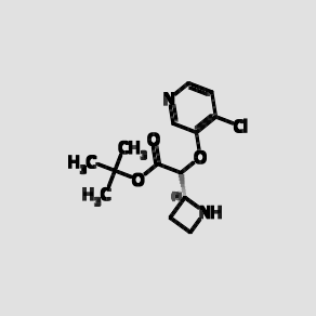 CC(C)(C)OC(=O)C(Oc1cnccc1Cl)[C@H]1CCN1